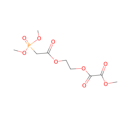 COC(=O)C(=O)OCCOC(=O)CP(=O)(OC)OC